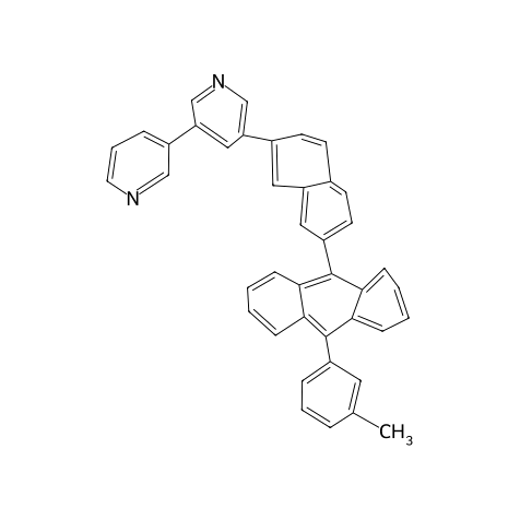 Cc1cccc(-c2c3ccccc3c(-c3ccc4ccc(-c5cncc(-c6cccnc6)c5)cc4c3)c3ccccc23)c1